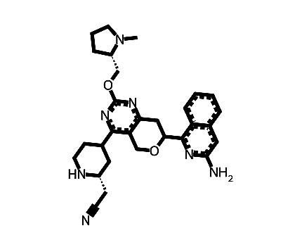 CN1CCC[C@H]1COc1nc2c(c(C3CCN[C@@H](CC#N)C3)n1)COC(c1nc(N)cc3ccccc13)C2